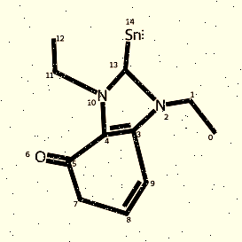 CCN1C2=C(C(=O)CC=C2)N(CC)[CH]1[Sn]